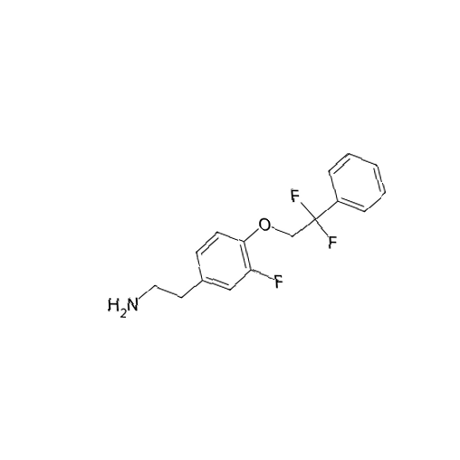 NCCc1ccc(OCC(F)(F)c2ccccc2)c(F)c1